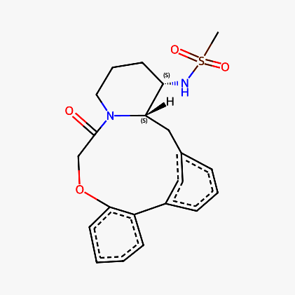 CS(=O)(=O)N[C@H]1CCCN2C(=O)COc3ccccc3-c3cccc(c3)C[C@@H]12